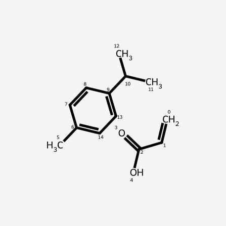 C=CC(=O)O.Cc1ccc(C(C)C)cc1